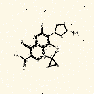 N[C@H]1CCN(c2c(F)cc3c(=O)c(C(=O)O)cn(C4(F)CC4)c3c2Cl)C1